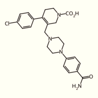 NC(=O)c1ccc(N2CCN(CC3=C(c4ccc(Cl)cc4)CCN(C(=O)O)C3)CC2)cc1